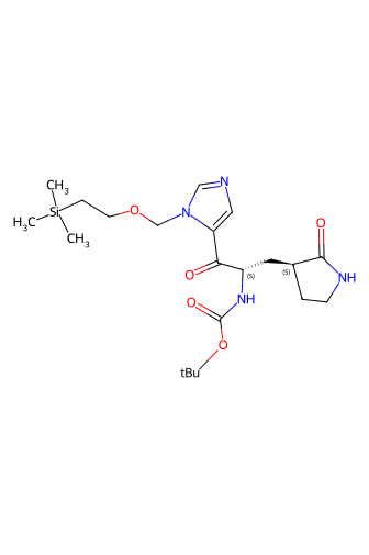 CC(C)(C)OC(=O)N[C@@H](C[C@@H]1CCNC1=O)C(=O)c1cncn1COCC[Si](C)(C)C